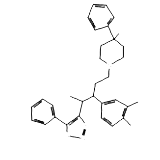 Cl.Cl.OC(c1nn[nH]c1-c1ccccc1)C(CCN1CCC(O)(c2ccccc2)CC1)c1ccc(Cl)c(Cl)c1